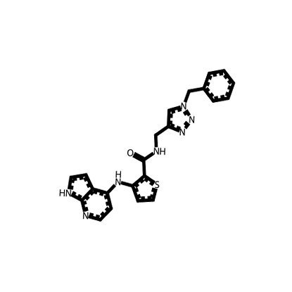 O=C(NCc1cn(Cc2ccccc2)nn1)c1sccc1Nc1ccnc2[nH]ccc12